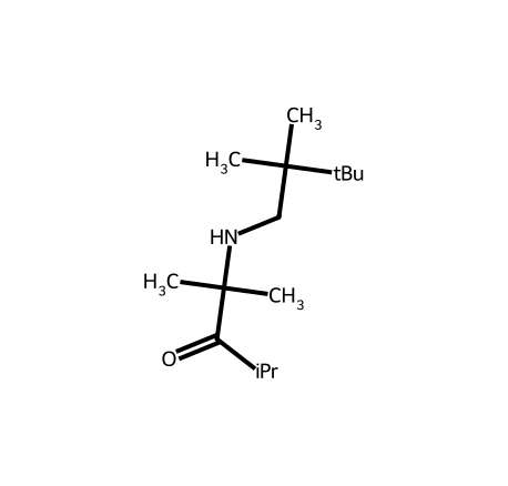 CC(C)C(=O)C(C)(C)NCC(C)(C)C(C)(C)C